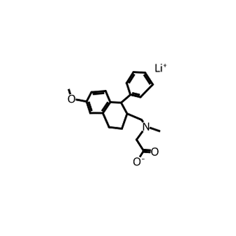 COc1ccc2c(c1)CCC(CN(C)CC(=O)[O-])C2c1ccccc1.[Li+]